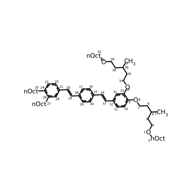 CCCCCCCCOCCC(C)CCOc1ccc(C=Cc2ccc(C=Cc3ccc(CCCCCCCC)c(CCCCCCCC)c3)cc2)cc1OCCC(C)CCOCCCCCCCC